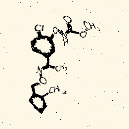 COC(=O)NOc1cc(/C(C)=N/OCc2ccccc2C)ccc1Cl